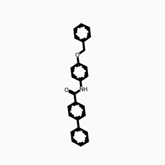 O=C(Nc1ccc(OCc2ccccc2)cc1)c1ccc(-c2ccccc2)cc1